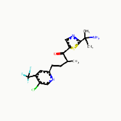 CC(CCc1cc(C(F)(F)F)c(Cl)cn1)C(=O)c1cnc(C(C)(C)N)s1